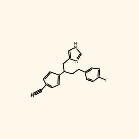 N#Cc1ccc(C(CCc2ccc(F)cc2)Cc2c[nH]cn2)cc1